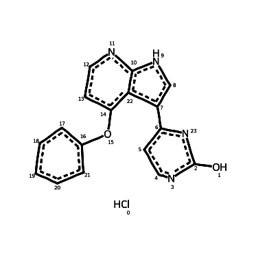 Cl.Oc1nccc(-c2c[nH]c3nccc(Oc4ccccc4)c23)n1